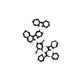 Cc1c2c(n(-c3ccccc3)c1-c1c(C)c3ccccc3n1-c1cc(C#N)c(-n3c4ccc(-n5c6ccccc6c6ccccc65)cc4c4c5ccccc5ccc43)cc1C#N)C=CCC2